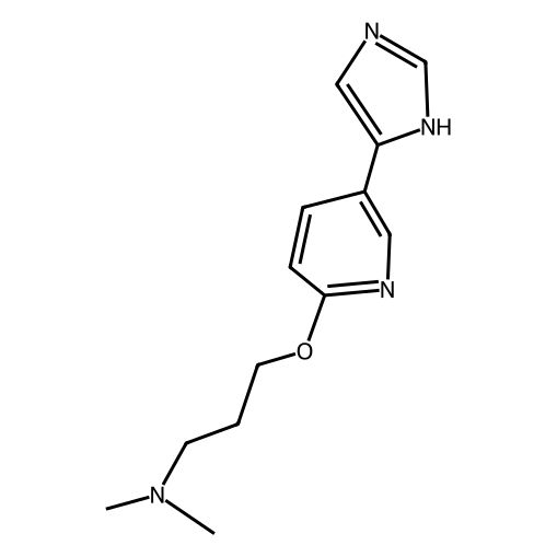 CN(C)CCCOc1ccc(-c2cnc[nH]2)cn1